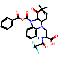 CC(C)(C)C(=O)CN(C(=O)OC(=O)c1ccccc1)c1ccccc1N(CC(NC(=O)C(F)(F)F)C(=O)O)C1CCCCC1